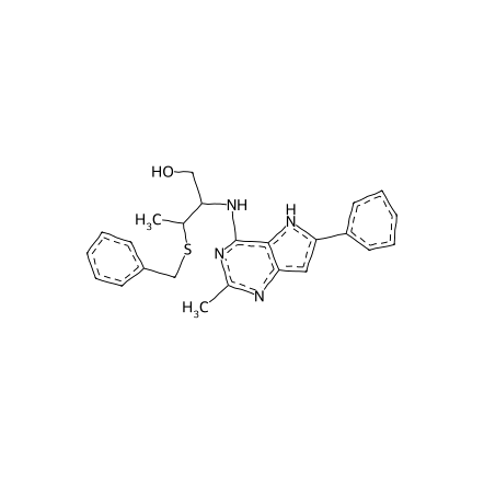 Cc1nc(NC(CO)C(C)SCc2ccccc2)c2[nH]c(-c3ccccc3)cc2n1